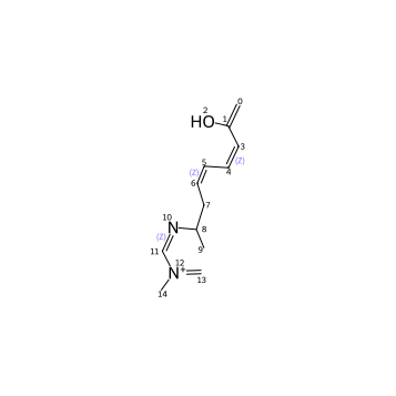 C=C(O)/C=C\C=C/CC(C)/N=C\[N+](=C)C